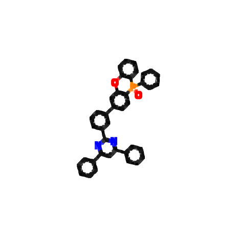 O=P1(c2ccccc2)c2ccccc2Oc2cc(-c3cccc(-c4nc(-c5ccccc5)cc(-c5ccccc5)n4)c3)ccc21